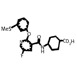 CSc1cccc(Oc2ncc(F)cc2C(=O)NC2CCC(C(=O)O)CC2)c1